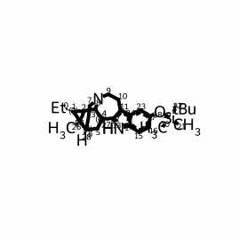 CC[C@@H]1C2C3[C@H]4C[C@@H](CN3CCc3c4[nH]c4ccc(O[Si](C)(C)C(C)(C)C)cc34)[C@]21C